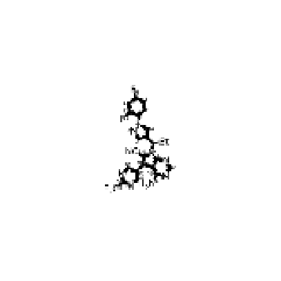 CC[C@H](c1cnn(-c2ccc(F)cc2F)c1)n1c(C#N)c(-c2cnc(C(F)(F)F)nc2)c2c(N)ncnc21